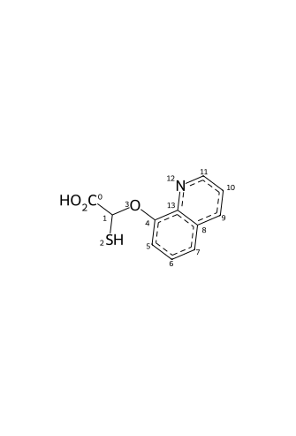 O=C(O)C(S)Oc1cccc2cccnc12